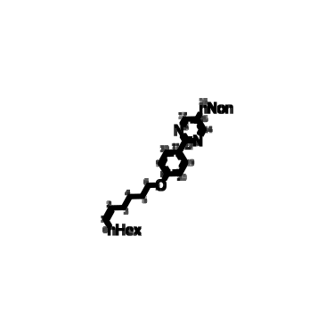 CCCCCC/C=C\CCCCOc1ccc(-c2ncc(CCCCCCCCC)cn2)cc1